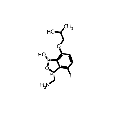 CC(O)COc1ccc(I)c2c1B(O)O[C@@H]2CN